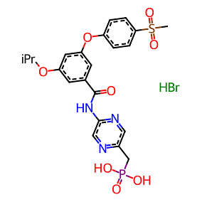 Br.CC(C)Oc1cc(Oc2ccc(S(C)(=O)=O)cc2)cc(C(=O)Nc2cnc(CP(=O)(O)O)cn2)c1